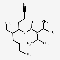 CCCCC(CC)C(CCC#N)OP(O)N(C(C)C)C(C)C